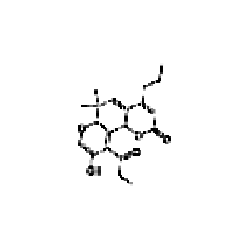 CCCC1=CC(=O)OC2C1=CC(C)(C)C1OC=C(O)C(C(=O)CC)=C21